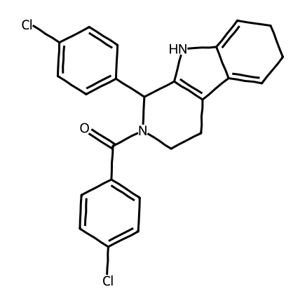 O=C(c1ccc(Cl)cc1)N1CCc2c([nH]c3c2=CCCC=3)C1c1ccc(Cl)cc1